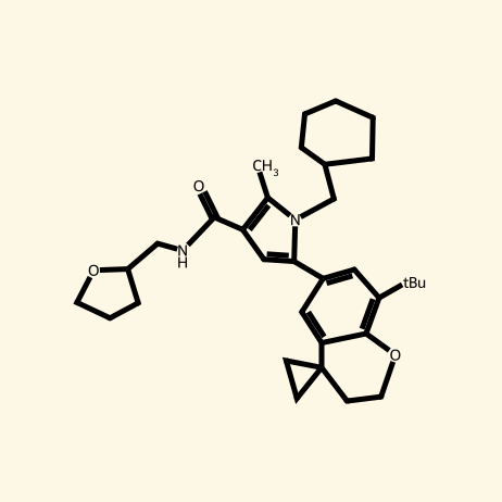 Cc1c(C(=O)NCC2CCCO2)cc(-c2cc(C(C)(C)C)c3c(c2)C2(CCO3)CC2)n1CC1CCCCC1